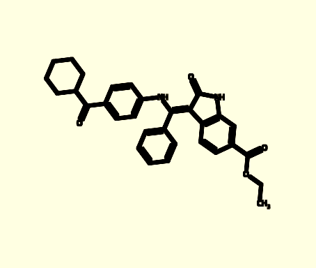 CCOC(=O)c1ccc2c(c1)NC(=O)/C2=C(\Nc1ccc(C(=O)C2CCCCC2)cc1)c1ccccc1